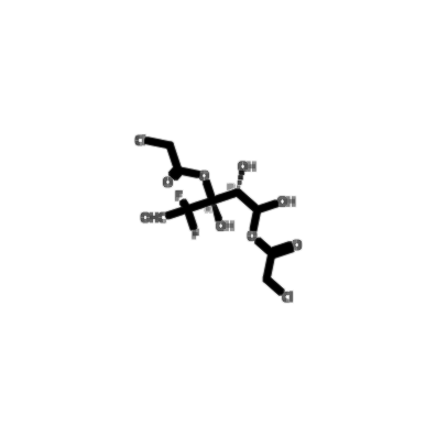 O=CC(F)(F)[C@](O)(OC(=O)CCl)[C@H](O)C(O)OC(=O)CCl